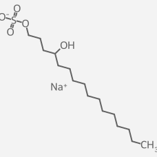 CCCCCCCCCCCCC(O)CCCOS(=O)(=O)[O-].[Na+]